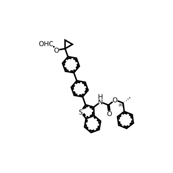 C[C@@H](OC(=O)Nc1c(-c2ccc(-c3ccc(C4(OC=O)CC4)cc3)cc2)sc2ccccc12)c1ccccc1